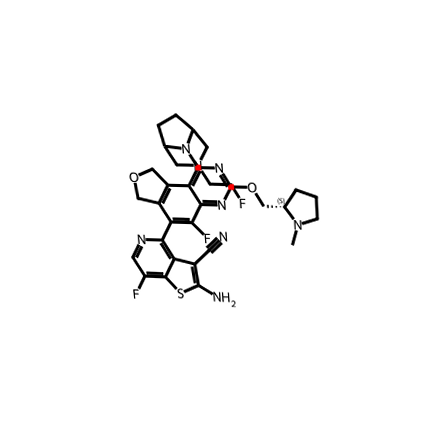 CN1CCC[C@H]1COc1nc(N2C3CCC2CN(CCF)C3)c2c3c(c(-c4ncc(F)c5sc(N)c(C#N)c45)c(F)c2n1)COC3